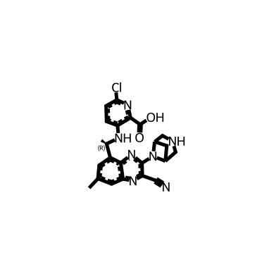 Cc1cc([C@@H](C)Nc2ccc(Cl)nc2C(=O)O)c2nc(N3C4CNCC3C4)c(C#N)nc2c1